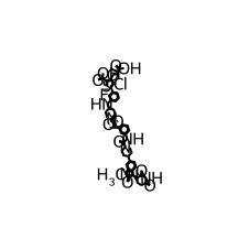 Cn1c(=O)n(C2CCC(=O)NC2=O)c2ccc(C3CCN(C(=O)Nc4cccc(CS(=O)(=O)N5CCC(Nc6cccc(-c7sc(C(=O)O)c(OCC(=O)O)c7Cl)c6F)CC5)c4)CC3)cc21